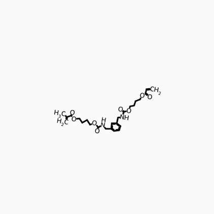 C=CC(=O)OCCCCOC(=O)NCc1cccc(CNC(=O)OCCCCOC(=O)C(=C)C)c1